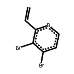 C=Cc1bccc(Br)c1Br